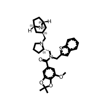 COc1cc(C(=O)N(Cc2cc3ccccc3s2)C[C@@H]2CCCN2C[C@@H]2C[C@H]3CC[C@@H](C2)N3)cc2c1OC(C)(C)O2